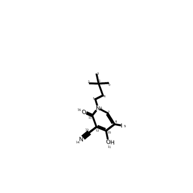 CC(C)(C)CCn1cc(I)c(O)c(C#N)c1=O